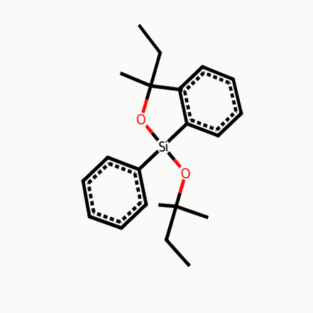 CCC(C)(C)O[Si](OC(C)(C)CC)(c1ccccc1)c1ccccc1